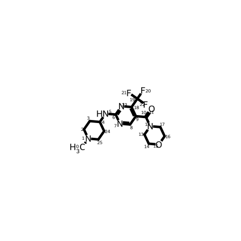 CN1CCC(Nc2ncc(C(=O)N3CCOCC3)c(C(F)(F)F)n2)CC1